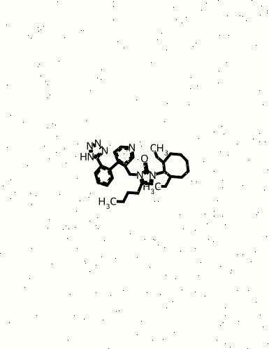 CCCCc1cn(C2C(CC)CCCCCC2CC)c(=O)n1Cc1cnccc1-c1ccccc1-c1nnn[nH]1